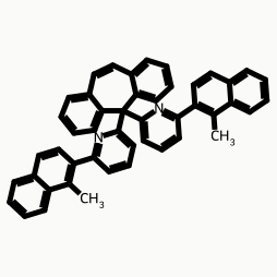 Cc1c(-c2cccc(C3(c4cccc(-c5ccc6ccccc6c5C)n4)c4ccccc4C=Cc4ccccc43)n2)ccc2ccccc12